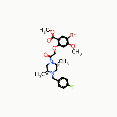 COC(=O)c1cc(Br)c(OC)cc1OCC(=O)N1C[C@H](C)N(Cc2ccc(F)cc2)C[C@H]1C